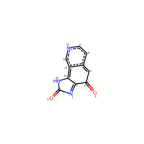 O=C1N=C2C(=O)C=c3ccncc3=C2N1